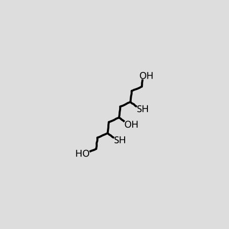 OCCC(S)CC(O)CC(S)CCO